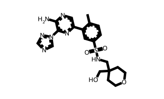 Cc1ccc(S(=O)(=O)NCC2(CO)CCOCC2)cc1-c1cnc(N)c(-n2cncn2)n1